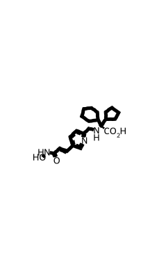 O=C(/C=C/c1ccc(CN[C@](C(=O)O)(C2CCCCC2)C2CCCC2)nc1)NO